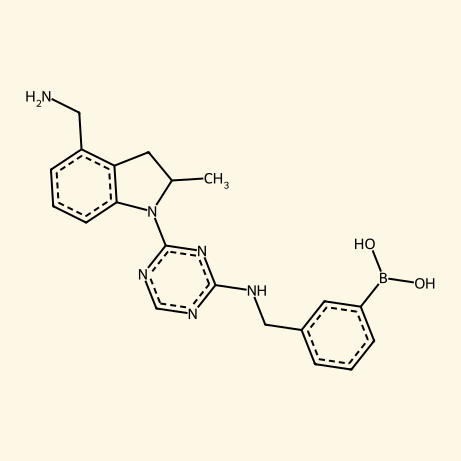 CC1Cc2c(CN)cccc2N1c1ncnc(NCc2cccc(B(O)O)c2)n1